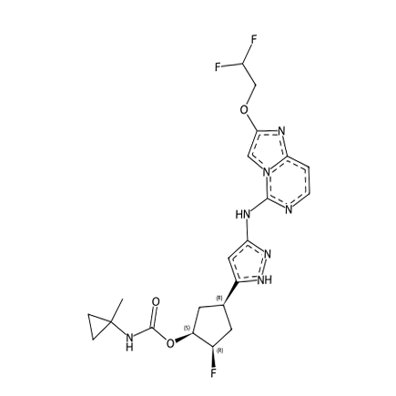 CC1(NC(=O)O[C@H]2C[C@@H](c3cc(Nc4nccc5nc(OCC(F)F)cn45)n[nH]3)C[C@H]2F)CC1